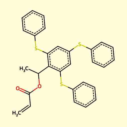 C=CC(=O)OC(C)c1c(Sc2ccccc2)cc(Sc2ccccc2)cc1Sc1ccccc1